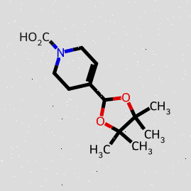 CC1(C)OC(C2=CCN(C(=O)O)CC2)OC1(C)C